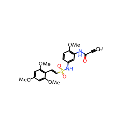 C#CC(=O)Nc1cc(NS(=O)(=O)C=Cc2c(OC)cc(OC)cc2OC)ccc1OC